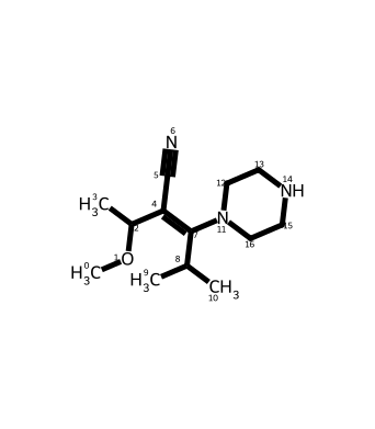 COC(C)/C(C#N)=C(\C(C)C)N1CCNCC1